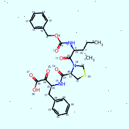 CC[C@H](C)[C@H](NC(=O)OCc1ccccc1)C(=O)N1CSC[C@H]1C(=O)N[C@@H](Cc1ccccc1)C(=O)C(=O)O